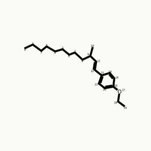 CCCCCCCCCC(C)/C=C/c1ccc(OCC)cc1